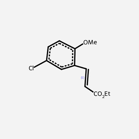 CCOC(=O)/C=C/c1cc(Cl)ccc1OC